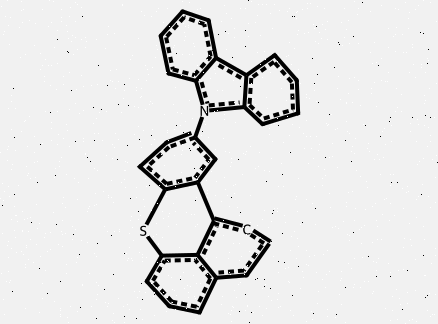 c1cc2c3c(cccc3c1)-c1cc(-n3c4ccccc4c4ccccc43)ccc1S2